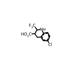 O=C(O)C1Cc2cc(Cl)ccc2NC1C(F)(F)F